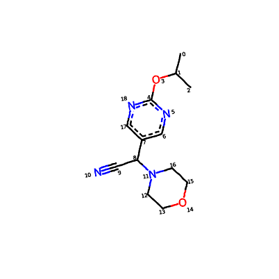 CC(C)Oc1ncc(C(C#N)N2CCOCC2)cn1